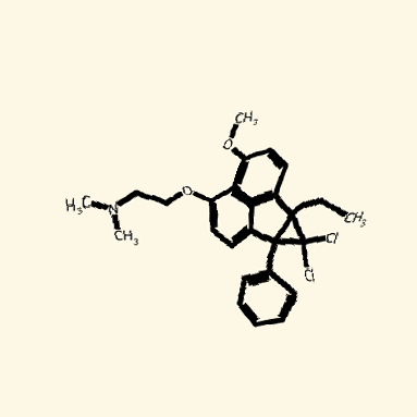 CCC1(c2ccc(OC)cc2)C(Cl)(Cl)C1(c1ccccc1)c1ccc(OCCN(C)C)cc1